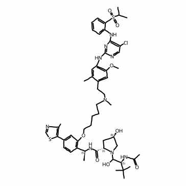 COc1cc(CCN(C)CCCCCOc2cc(-c3scnc3C)ccc2[C@H](C)NC(=O)[C@@H]2C[C@@H](O)CN2C(O)[C@@H](NC(C)=O)C(C)(C)C)c(C)cc1Nc1ncc(Cl)c(Nc2ccccc2S(=O)(=O)C(C)C)n1